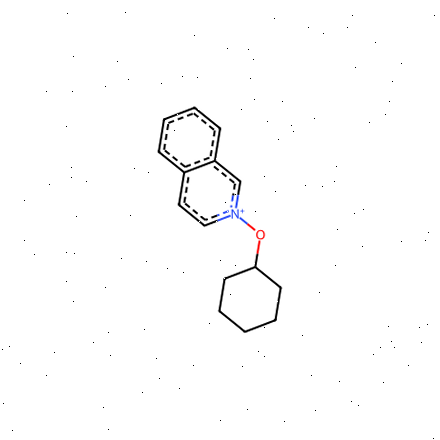 c1ccc2c[n+](OC3CCCCC3)ccc2c1